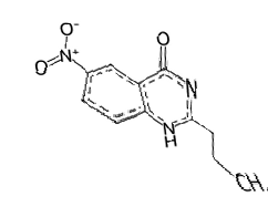 CCCc1nc(=O)c2cc([N+](=O)[O-])ccc2[nH]1